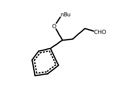 CCCCOC(CCC=O)c1ccccc1